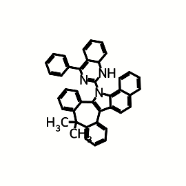 CC1(C)c2ccccc2-c2c(n(C3=NC(c4ccccc4)=C4C=CC=CC4N3)c3c2ccc2ccccc23)-c2ccccc21